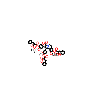 COc1cc(-c2c3n(c4c(=O)oc5cc(OC(=O)c6cc7ccccc7oc6=O)c(OC)cc5c24)CCc2cc(OC(=O)c4cc5ccccc5oc4=O)c(OC)cc2-3)ccc1OC(=O)c1cc2ccccc2oc1=O